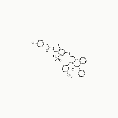 C[C@H](CCOc1cc(F)c(COC(=O)Cc2ccc([O])cc2)c(S(C)(=O)=O)c1)N(Cc1cccc(C(F)(F)F)c1Cl)CC(c1ccccc1)c1ccccc1